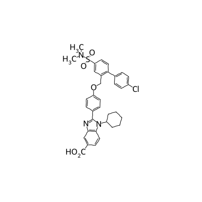 CN(C)S(=O)(=O)c1ccc(-c2ccc(Cl)cc2)c(COc2ccc(-c3nc4cc(C(=O)O)ccc4n3C3CCCCC3)cc2)c1